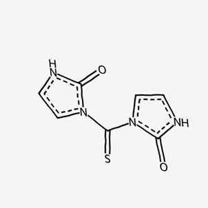 O=c1[nH]ccn1C(=S)n1cc[nH]c1=O